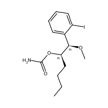 CCCC[C@@H](OC(N)=O)[C@H](OC)c1ccccc1I